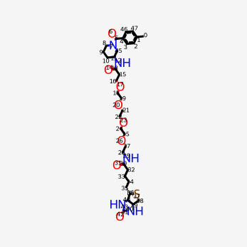 Cc1ccc(C(=O)N2CCCC(NC(=O)CCOCCOCCOCCOCCNC(=O)CCCC[C@@H]3SCC4NC(=O)NC43)C2)cc1